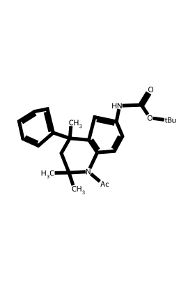 CC(=O)N1c2ccc(NC(=O)OC(C)(C)C)cc2C(C)(c2ccccc2)CC1(C)C